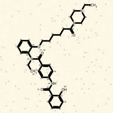 CCN1CCN(C(=O)CCCCCOc2ccccc2N(CC)C(=O)c2ccc(NC(=O)c3ccccc3O)cc2)CC1